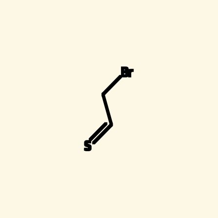 S=CCBr